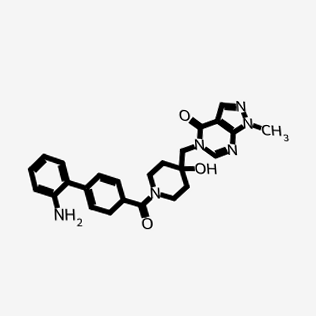 Cn1ncc2c(=O)n(CC3(O)CCN(C(=O)C4C=CC(c5ccccc5N)=CC4)CC3)cnc21